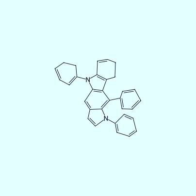 C1=CCCC(n2c3c(c4c(-c5ccccc5)c5c(ccn5-c5ccccc5)cc42)CCC=C3)=C1